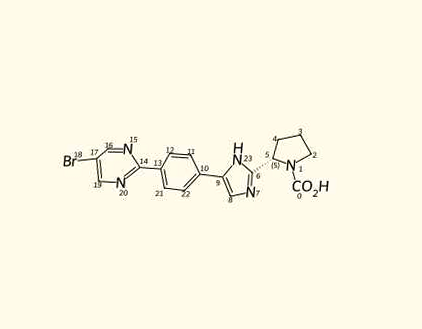 O=C(O)N1CCC[C@H]1c1ncc(-c2ccc(-c3ncc(Br)cn3)cc2)[nH]1